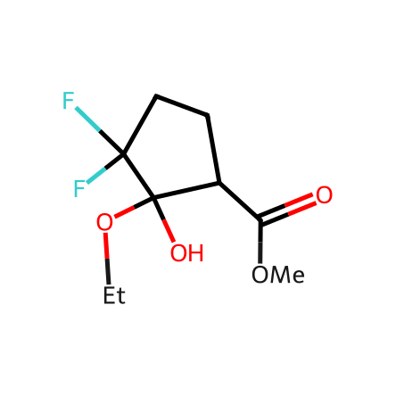 CCOC1(O)C(C(=O)OC)CCC1(F)F